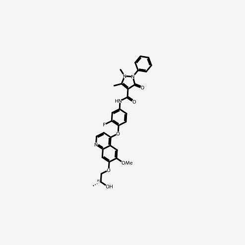 COc1cc2c(Oc3ccc(NC(=O)c4c(C)n(C)n(-c5ccccc5)c4=O)cc3F)ccnc2cc1OC[C@@H](C)O